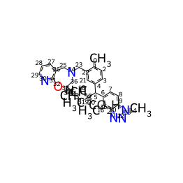 Cc1ccc(C(c2ccc3c(nnn3C)c2C)C(C)(C)C(=O)O)cc1CN1Cc2cccnc2OC(C)(C)C1